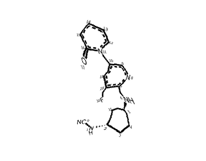 N#CN[C@H]1CC[C@H](Nc2ncc(-n3ccccc3=O)cc2F)C1